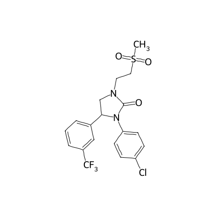 CS(=O)(=O)CCN1CC(c2cccc(C(F)(F)F)c2)N(c2ccc(Cl)cc2)C1=O